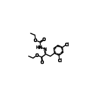 CCOC(=O)NN=C(Cc1ccc(Cl)cc1Cl)C(=O)OCC